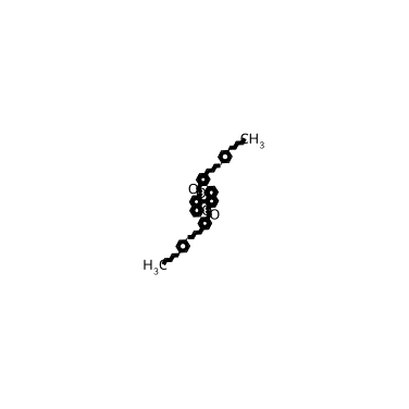 CCCCC[C@H]1CC[C@H](CCCCc2ccc(C(=O)Oc3ccc4ccccc4c3-c3c(OC(=O)c4ccc(CCCC[C@H]5CC[C@H](CCCCC)CC5)cc4)ccc4ccccc34)cc2)CC1